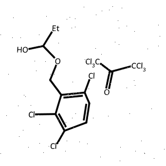 CCC(O)OCc1c(Cl)ccc(Cl)c1Cl.O=C(C(Cl)(Cl)Cl)C(Cl)(Cl)Cl